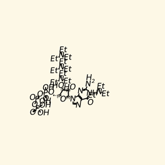 CCN(CC)CC.CCN(CC)CC.CCN(CC)CC.CCN(CC)CC.Nc1nc2c(ncn2[C@@H]2O[C@H](COP(=O)(O)OP(=O)(O)OP(=O)(O)O)[C@@H](O)[C@H]2O)c(=O)[nH]1